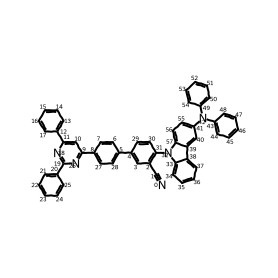 N#Cc1cc(-c2ccc(-c3cc(-c4ccccc4)nc(-c4ccccc4)n3)cc2)ccc1-n1c2ccccc2c2cc(N(c3ccccc3)c3ccccc3)ccc21